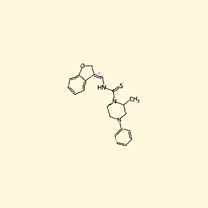 CC1CN(c2ccccc2)CCN1C(=S)N/C=C1/COc2ccccc21